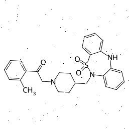 Cc1ccccc1C(=O)CN1CCC(CN2c3ccccc3Nc3ccccc3S2(=O)=O)CC1